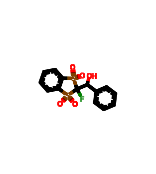 O=S1(=O)c2ccccc2S(=O)(=O)C1(F)C(O)c1ccccc1